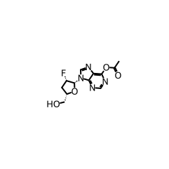 CC(=O)Oc1ncnc2c1ncn2[C@@H]1O[C@H](CO)C[C@@H]1F